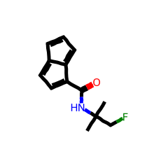 CC(C)(CF)NC(=O)C1=CC=C2C=CC=C21